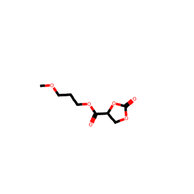 COCCCOC(=O)C1COC(=O)O1